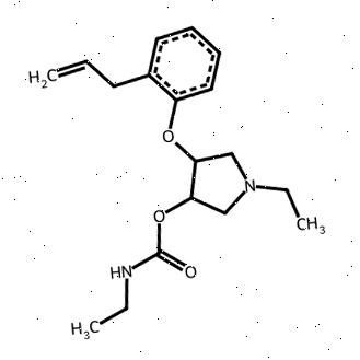 C=CCc1ccccc1OC1CN(CC)CC1OC(=O)NCC